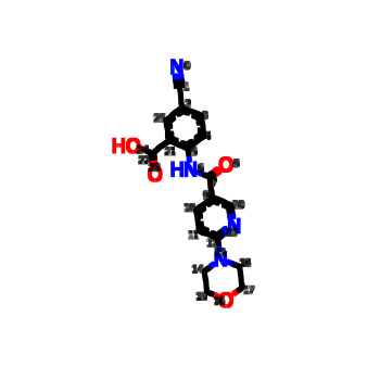 N#Cc1ccc(NC(=O)c2ccc(N3CCOCC3)nc2)c(C(=O)O)c1